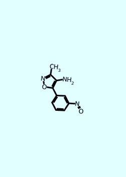 Cc1noc(-c2cccc(N=O)c2)c1N